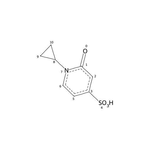 O=c1cc(S(=O)(=O)O)ccn1C1CC1